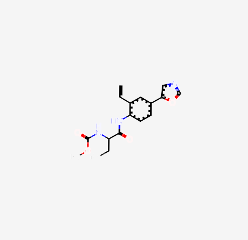 C=Cc1cc(-c2cnco2)ccc1NC(=O)C(CC(C)C)NC(=O)OC(C)(C)C